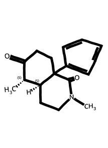 C[C@@H]1C(=O)CCC2(c3ccccc3)C(=O)N(C)CC[C@@H]12